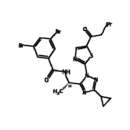 CC(C)CC(=O)c1cnc(-n2nc(C3CC3)nc2[C@H](C)NC(=O)c2cc(Br)cc(Br)c2)s1